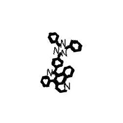 c1ccc(-c2nc(-c3ccccc3)nc(-c3ccc(-c4nc5ccccc5c5c6cccnc6c6ccccc6c45)cc3)n2)cc1